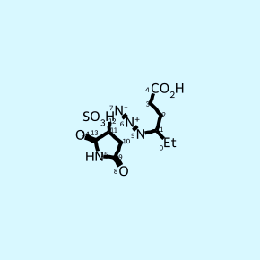 CCC(CCC(=O)O)N=[N+]=[N-].O=C1CC(S(=O)(=O)O)C(=O)N1